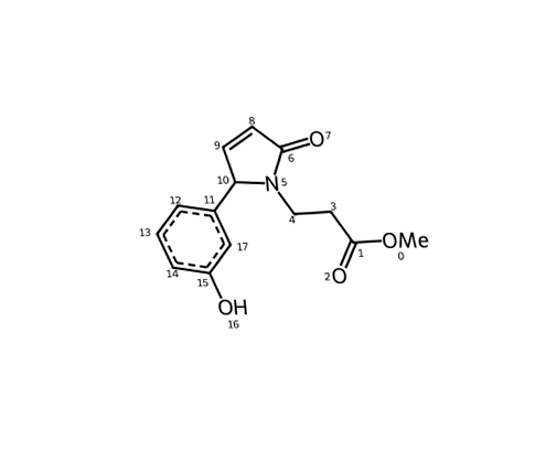 COC(=O)CCN1C(=O)C=CC1c1cccc(O)c1